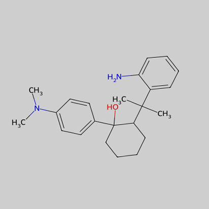 CN(C)c1ccc(C2(O)CCCCC2C(C)(C)c2ccccc2N)cc1